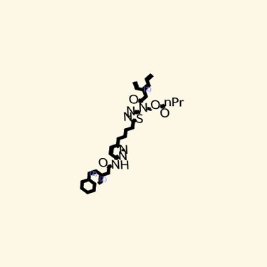 C=C/C=C(\C=C)CC(=O)N(COC(=O)CCC)c1nnc(CCCCc2ccc(NC(=O)CC(/C=C\C3CCCCC3)=C/C)nn2)s1